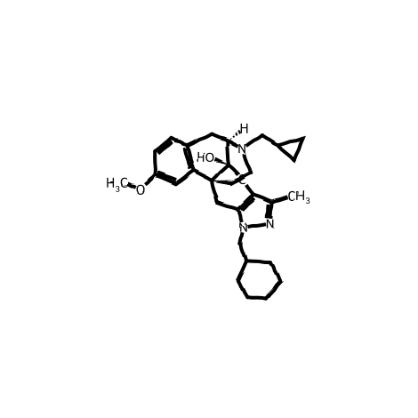 COc1ccc2c(c1)[C@]13CCN(CC4CC4)[C@H](C2)[C@]1(O)Cc1c(C)nn(CC2CCCCC2)c1C3